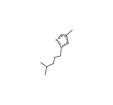 Cc1cnn(CCCC(C)C)c1